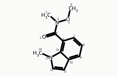 CON(C)C(=O)c1cccc2ccn(C)c12